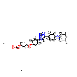 CN(C)c1ccc(-c2cn(-c3ccc(OCCCO)cc3)nn2)cc1